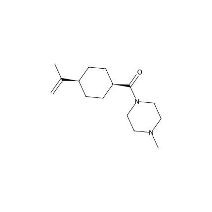 C=C(C)[C@H]1CC[C@@H](C(=O)N2CCN(C)CC2)CC1